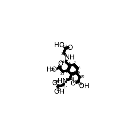 O=C(O)CNCc1ccc(CC(=O)O)c(CNCC(=O)O)c1CC(=O)O